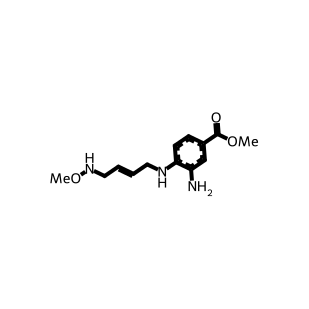 CONC/C=C/CNc1ccc(C(=O)OC)cc1N